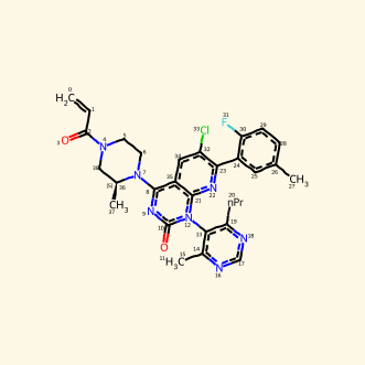 C=CC(=O)N1CCN(c2nc(=O)n(-c3c(C)ncnc3CCC)c3nc(-c4cc(C)ccc4F)c(Cl)cc23)[C@@H](C)C1